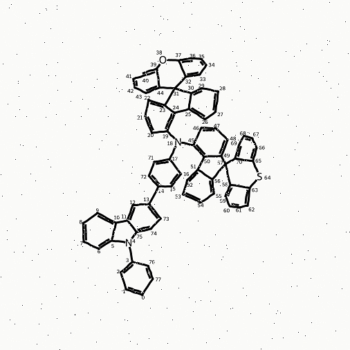 c1ccc(-n2c3ccccc3c3cc(-c4ccc(N(c5cccc6c5-c5ccccc5C65c6ccccc6Oc6ccccc65)c5cccc6c5-c5ccccc5C65c6ccccc6Sc6ccccc65)cc4)ccc32)cc1